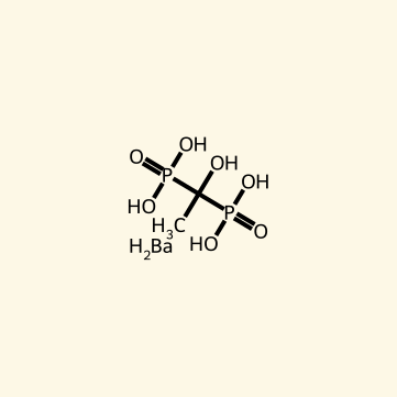 CC(O)(P(=O)(O)O)P(=O)(O)O.[BaH2]